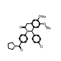 CCC(C)Oc1cc2c(cc1OC)CC(=O)N(c1ccc(C(=O)N3CCCC3)cc1)C2c1ccc(Cl)cc1